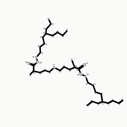 CCCCC(CCC)CCCCSOC(=O)C(C)CCCSCCCC(C)C(=O)OSCCCCC(CCC)CCCC